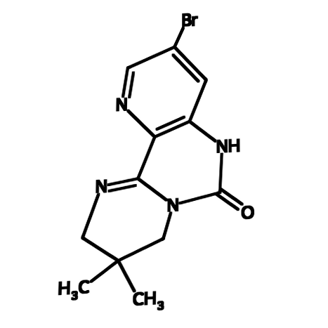 CC1(C)CN=C2c3ncc(Br)cc3NC(=O)N2C1